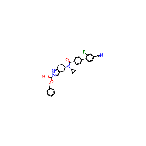 N#Cc1ccc(-c2ccc(C(=O)N(C3CC3)C3CCc4nn(C(O)OCc5ccccc5)cc4C3)cc2)c(F)c1